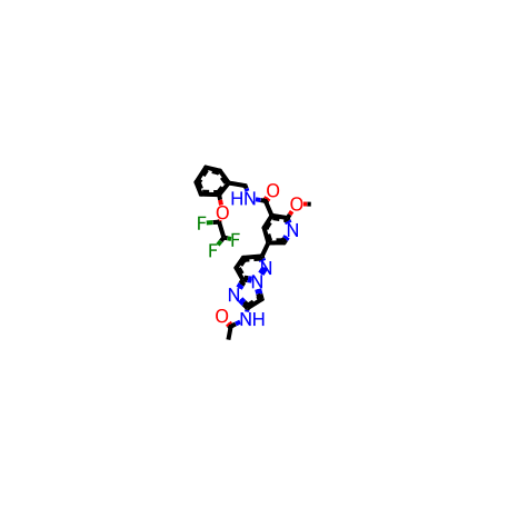 COc1ncc(-c2ccc3nc(NC(C)=O)cn3n2)cc1C(=O)NCc1ccccc1OC(F)C(F)F